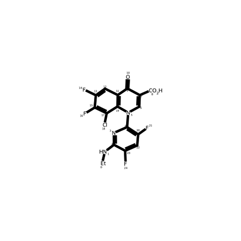 CCNc1nc(-n2cc(C(=O)O)c(=O)c3cc(F)c(F)c(Cl)c32)c(F)cc1F